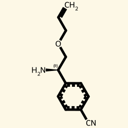 C=CCOC[C@H](N)c1ccc(C#N)cc1